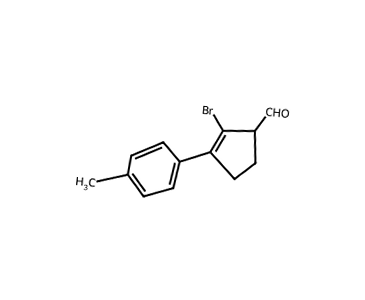 Cc1ccc(C2=C(Br)C(C=O)CC2)cc1